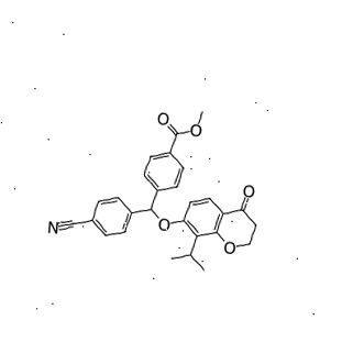 COC(=O)c1ccc(C(Oc2ccc3c(c2C(C)C)OCCC3=O)c2ccc(C#N)cc2)cc1